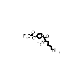 NCCCC[C@H](N)C(=O)N1CC[C@H](OC(=O)C(F)(F)F)C1